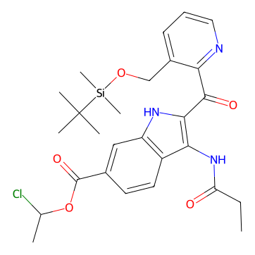 CCC(=O)Nc1c(C(=O)c2ncccc2CO[Si](C)(C)C(C)(C)C)[nH]c2cc(C(=O)OC(C)Cl)ccc12